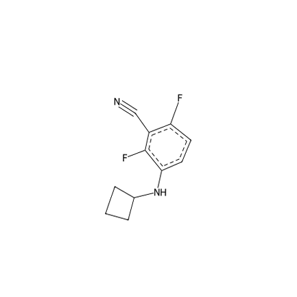 N#Cc1c(F)ccc(NC2CCC2)c1F